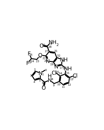 Cn1cccc1C(=O)NCc1ccc(Cl)c(Nc2nc3nc(OCC(F)F)c(C(N)=O)cc3[nH]2)c1Cl